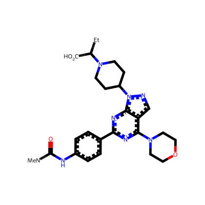 CCC(C(=O)O)N1CCC(n2ncc3c(N4CCOCC4)nc(-c4ccc(NC(=O)NC)cc4)nc32)CC1